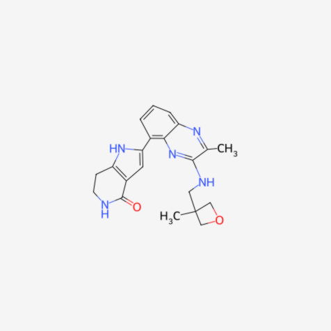 Cc1nc2cccc(-c3cc4c([nH]3)CCNC4=O)c2nc1NCC1(C)COC1